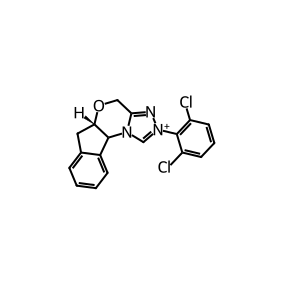 Clc1cccc(Cl)c1-[n+]1cn2c(n1)CO[C@H]1Cc3ccccc3C12